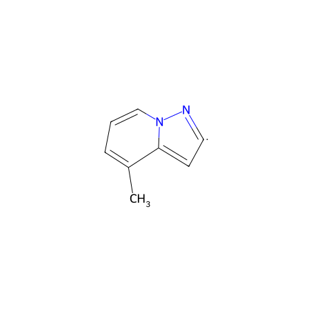 Cc1cccn2n[c]cc12